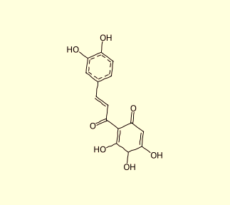 O=C1C=C(O)C(O)C(O)=C1C(=O)/C=C/c1ccc(O)c(O)c1